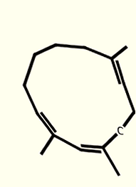 CC1=CCCCCC(C)=CCCC(C)=C1